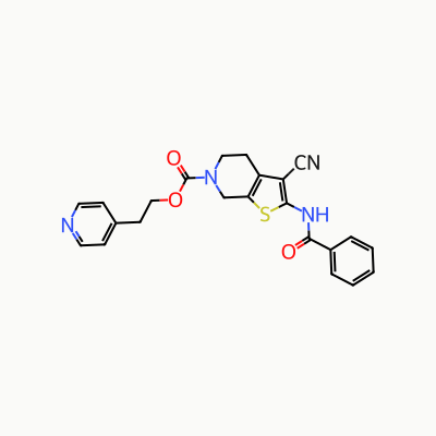 N#Cc1c(NC(=O)c2ccccc2)sc2c1CCN(C(=O)OCCc1ccncc1)C2